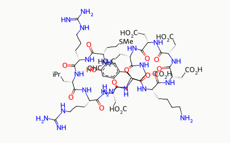 CSCC[C@H](NC=O)C(=O)N[C@@H](CCCNC(=N)N)C(=O)N[C@@H](CC(C)C)C(=O)N[C@@H](CCCNC(=N)N)C(=O)N[C@@H](CC(=O)O)C(=O)N[C@@H](Cc1ccc(O)cc1)C(=O)N[C@@H](CCCCN)C(=O)N[C@@H](CC(=O)O)C(=O)N[C@@H](CC(=O)O)C(=O)N[C@@H](CC(=O)O)C(=O)N[C@@H](CC(=O)O)C(=O)N[C@@H](CCCCN)C(=O)O